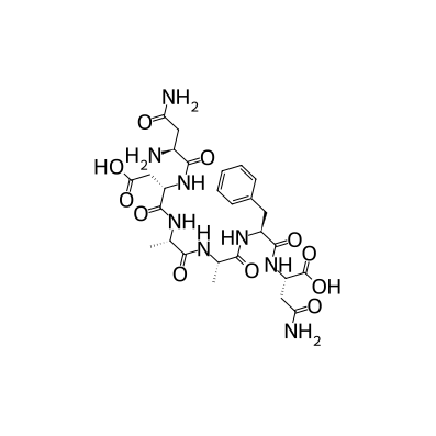 C[C@H](NC(=O)[C@H](C)NC(=O)[C@H](CC(=O)O)NC(=O)[C@@H](N)CC(N)=O)C(=O)N[C@@H](Cc1ccccc1)C(=O)N[C@@H](CC(N)=O)C(=O)O